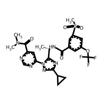 C[C@H](NC(=O)c1cc(OC(F)(F)F)cc(S(C)(=O)=O)c1)c1nc(C2CC2)nn1-c1cc(C(=O)N(C)C)ncn1